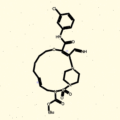 CC(C)(C)OC(=O)N1C/C=C/CCCCO/C(C(=O)Nc2cccc(Cl)c2)=C(/C=N)N2CCN(CC2)S1(=O)=O